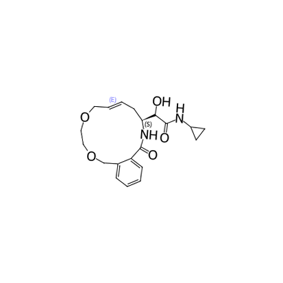 O=C1N[C@H](C(O)C(=O)NC2CC2)C/C=C/COCCOCc2ccccc21